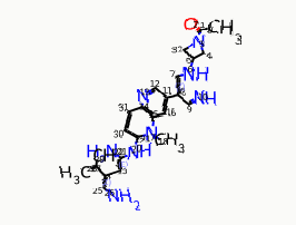 CC(=O)N1CC(N/C=C(\C=N)c2cnc3c(c2)N(C)C(N/C(N)=C/C(=C\N)C(C)C)C=C3)C1